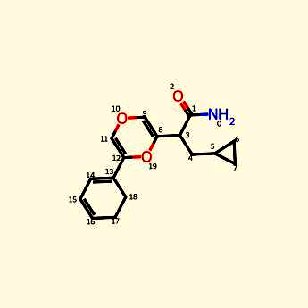 NC(=O)C(CC1CC1)C1=COC=C(C2=CC=CCC2)O1